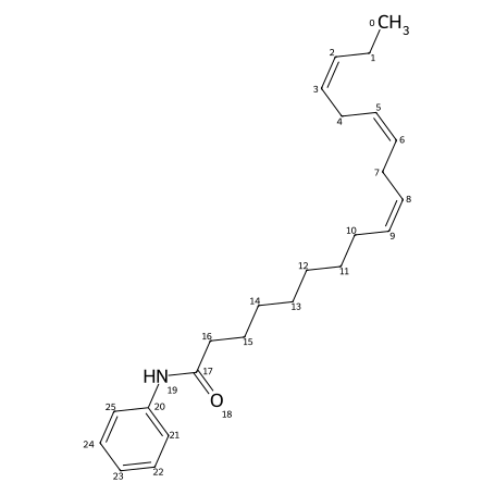 CC/C=C\C/C=C\C/C=C\CCCCCCCC(=O)Nc1ccccc1